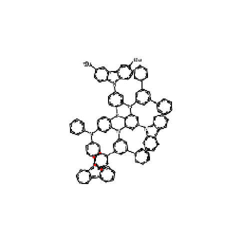 CC(C)(C)c1ccc2c(c1)c1cc(C(C)(C)C)ccc1n2-c1ccc2c(c1)N(c1cc(-c3ccccc3)cc(-c3ccccc3)c1)c1cc(-n3c4ccccc4c4ccccc43)cc3c1B2c1ccc(N(c2ccccc2)c2ccc(-n4c5ccccc5c5ccccc54)cc2)cc1N3c1cc(-c2ccccc2)cc(-c2ccccc2)c1